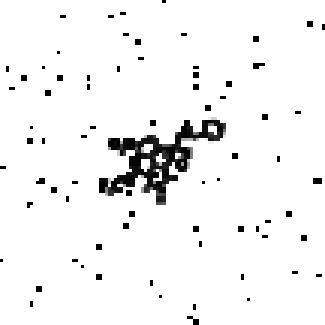 CC1=C(C(=O)OCC(F)(F)F)C(c2cccc([N+](=O)[O-])c2)C(c2nc(CN(C)Cc3ccccc3)no2)=C(C)N1